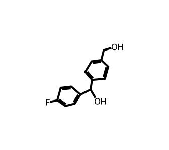 OCc1ccc(C(O)c2ccc(F)cc2)cc1